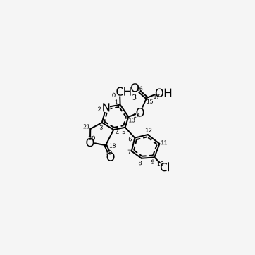 Cc1nc2c(c(-c3ccc(Cl)cc3)c1OC(=O)O)C(=O)OC2